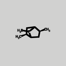 BP1C2C[C@H](C)C1C[C@@H]2C